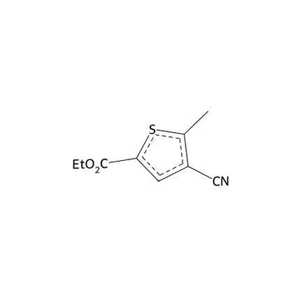 CCOC(=O)c1cc(C#N)c(C)s1